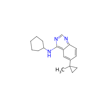 CC1(c2ccc3ncnc(NC4CCCCC4)c3c2)CC1